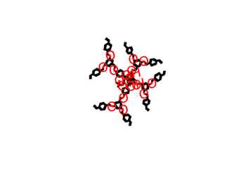 C=Cc1ccc(COc2cc(COc3ccc(C(O)(c4ccc(OCc5cc(OCc6ccc(C=C)cc6)cc(OCc6ccc(C=C)cc6)c5)cc4)[C@@H]4OC(C)(C)O[C@H]4C(O)(c4ccc(OCc5cc(OCc6ccc(C=C)cc6)cc(OCc6ccc(C=C)cc6)c5)cc4)c4ccc(OCc5cc(OCc6ccc(C=C)cc6)cc(OCc6ccc(C=C)cc6)c5)cc4)cc3)cc(OCc3ccc(C=C)cc3)c2)cc1